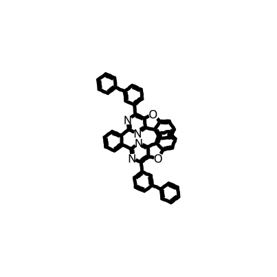 c1ccc(-c2cccc(-c3nc(-c4ccccc4-c4nc(-c5cccc(-c6ccccc6)c5)c5oc6ccccc6c5n4)nc4c3oc3ccccc34)c2)cc1